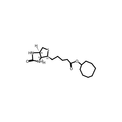 O=C1N[C@H]2[C@H](CS[C@H]2CCCCC(=O)OC2CCCCCCC2)N1